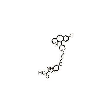 N[C@@H](Cc1ccc(OCCCCN2CCC(=C3c4ccc(Cl)cc4CCc4cccnc43)CC2)cc1)C(=O)O